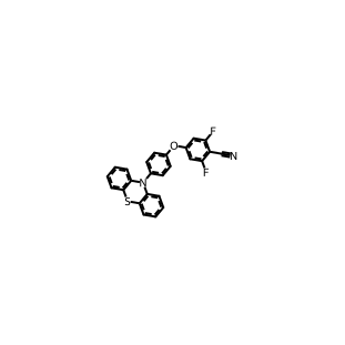 N#Cc1c(F)cc(Oc2ccc(N3c4ccccc4Sc4ccccc43)cc2)cc1F